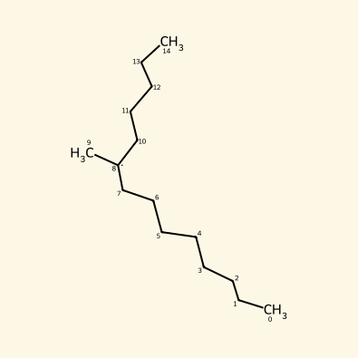 CCCCCCCC[C](C)CCCCC